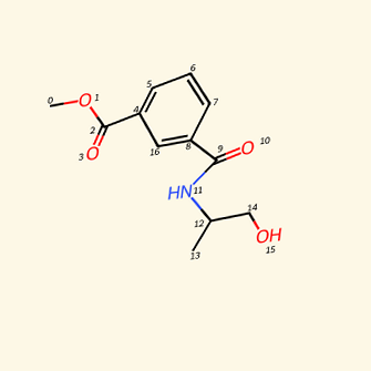 COC(=O)c1cccc(C(=O)NC(C)CO)c1